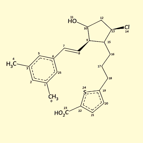 Cc1cc(C)cc(/C=C/[C@H]2C(O)C[C@@H](Cl)C2CCCc2ccc(C(=O)O)s2)c1